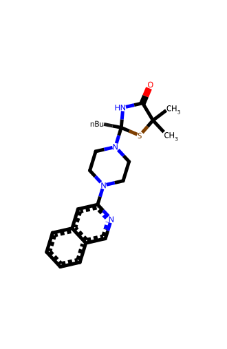 CCCCC1(N2CCN(c3cc4ccccc4cn3)CC2)NC(=O)C(C)(C)S1